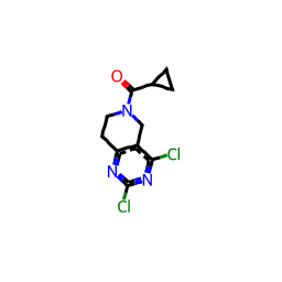 O=C(C1CC1)N1CCc2nc(Cl)nc(Cl)c2C1